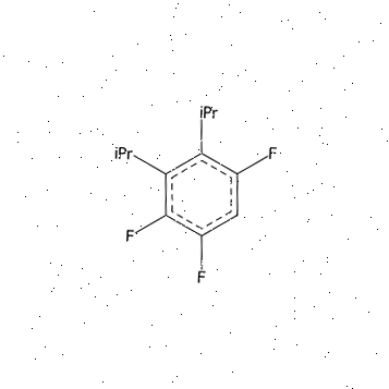 CC(C)c1c(F)cc(F)c(F)c1C(C)C